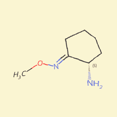 CON=C1CCCC[C@@H]1N